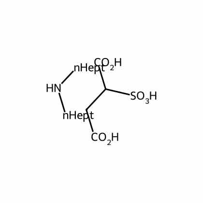 CCCCCCCNCCCCCCC.O=C(O)CC(C(=O)O)S(=O)(=O)O